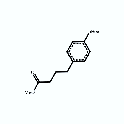 CCCCCCc1ccc(CCCC(=O)OC)cc1